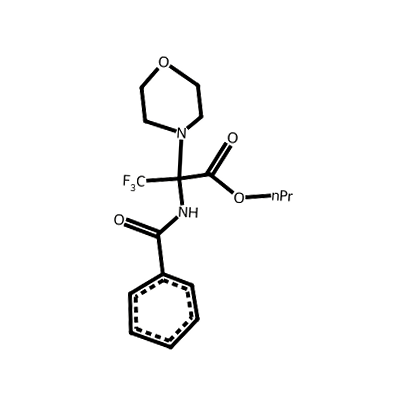 CCCOC(=O)C(NC(=O)c1ccccc1)(N1CCOCC1)C(F)(F)F